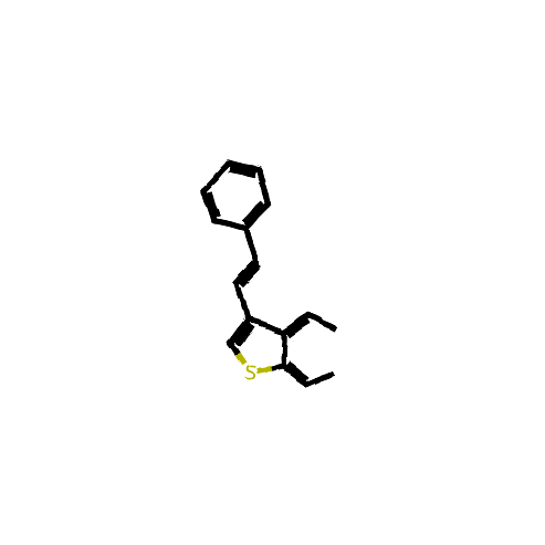 C/C=c1/c(/C=C/c2ccccc2)cs/c1=C/C